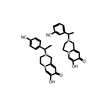 CC(c1ccc(C#N)cc1)N1CCn2cc(O)c(=O)cc2C1.CC(c1cccc(C#N)c1)N1CCn2cc(O)c(=O)cc2C1